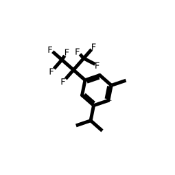 Cc1[c]c(C(C)C)cc(C(F)(C(F)(F)F)C(F)(F)F)c1